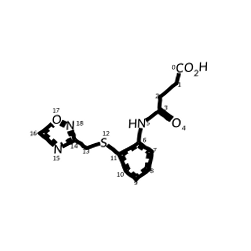 O=C(O)CCC(=O)Nc1ccccc1SCc1ncon1